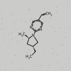 C=Cc1cnc(N2C[C@@H](CC)C[C@H]2C)nc1